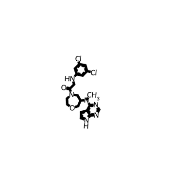 CN(c1ncnc2[nH]ccc12)C1COCCN(C(=O)CNc2cc(Cl)cc(Cl)c2)C1